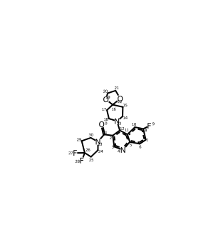 O=C(c1cnc2ccc(F)cc2c1N1CCC2(CC1)OCCO2)N1CCC(F)(F)CC1